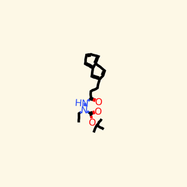 CCN(NC(=O)CCc1ccc2ccccc2c1)C(=O)OC(C)(C)C